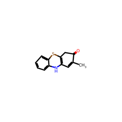 CC1=CC2=C(CC1=O)Sc1ccccc1N2